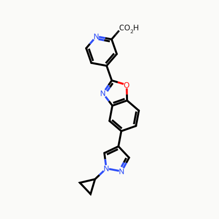 O=C(O)c1cc(-c2nc3cc(-c4cnn(C5CC5)c4)ccc3o2)ccn1